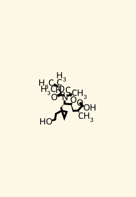 C[C@H](C[C@@H]1OC(C)(C)N(C(=O)OC(C)(C)C)[C@H]1CC1(CCO)CC1)C(=O)O